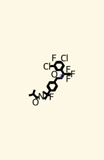 CC(C)C(=O)N1CC(F)(c2ccc(C(=O)/C=C(\c3cc(Cl)c(F)c(Cl)c3)C(F)(F)F)cc2)C1